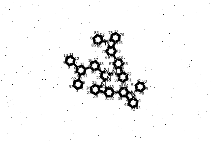 c1ccc(-c2cc(-c3ccccc3)cc(-c3cccc(-c4cc(-n5c6ccccc6c6ccc(-c7ccc8c(c7)c7ccccc7n8-c7ccccc7)cc65)nc(-n5c6ccccc6c6ccc(-c7ccc8c(c7)c7ccccc7n8-c7ccccc7)cc65)n4)c3)c2)cc1